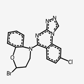 Clc1ccc2c(N3CCC(Br)Oc4ccccc43)nc3nncn3c2c1